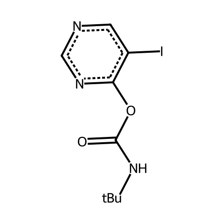 CC(C)(C)NC(=O)Oc1ncncc1I